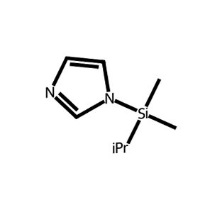 CC(C)[Si](C)(C)n1ccnc1